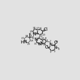 Cn1ccc(=O)n(Cc2cc3c(-c4cc(Cl)cc5ccn(CC6(F)CCNCC6)c45)ncnn3c2)c1=O